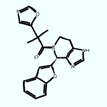 CC(C)(C(=O)N1CCc2[nH]cnc2[C@H]1c1cc2ccccc2o1)c1cnco1